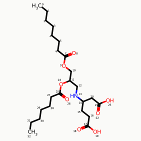 CCCCCCCC(=O)OCC(CNC(CCC(=O)O)CC(=O)O)OC(=O)CCCCCC